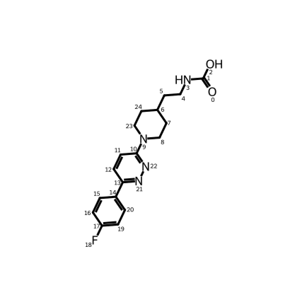 O=C(O)NCCC1CCN(c2ccc(-c3ccc(F)cc3)nn2)CC1